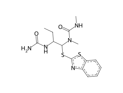 CCC(NC(N)=O)C(Sc1nc2ccccc2s1)N(C)C(=O)NC